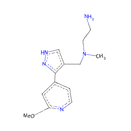 COc1cc(-c2n[nH]cc2CN(C)CCN)ccn1